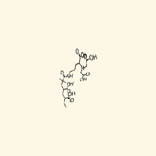 CCC(CC(CC(C)(C)C(=O)NCCCC(C(=O)O)N(CC(=O)O)CC(=O)O)C(=O)O)C(=O)O